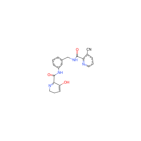 N#Cc1cccnc1C(=O)NCc1cccc(NC(=O)C2=NCCC=C2O)c1